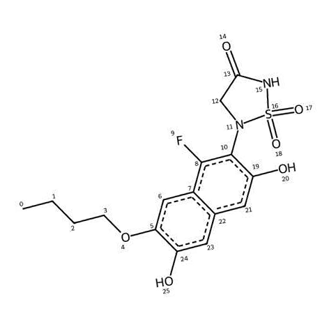 CCCCOc1cc2c(F)c(N3CC(=O)NS3(=O)=O)c(O)cc2cc1O